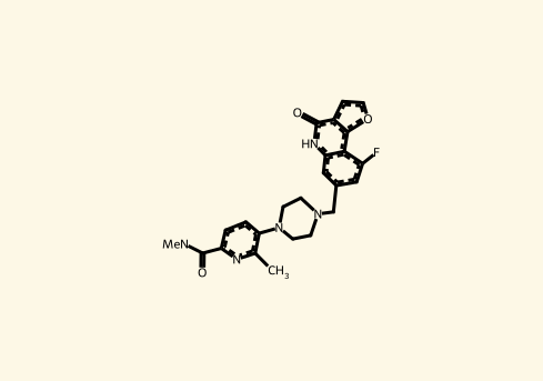 CNC(=O)c1ccc(N2CCN(Cc3cc(F)c4c(c3)[nH]c(=O)c3ccoc34)CC2)c(C)n1